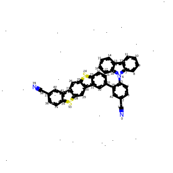 N#Cc1ccc(-n2c3ccccc3c3ccccc32)c(-c2ccc3sc4cc5c(cc4c3c2)sc2ccc(C#N)cc25)c1